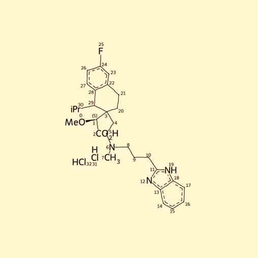 CO[C@H](C(=O)O)C1(CCN(C)CCCc2nc3ccccc3[nH]2)CCc2cc(F)ccc2C1C(C)C.Cl.Cl